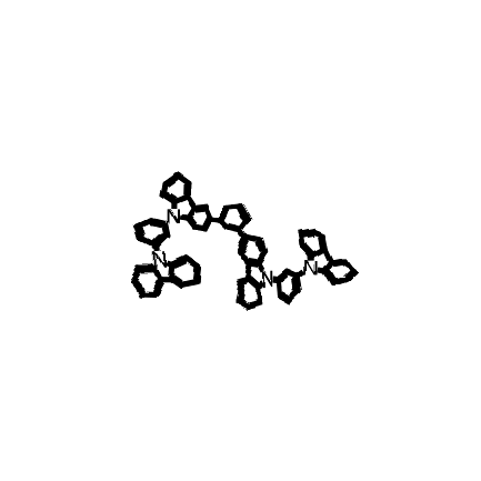 C1=Cc2c(n(-c3cccc(-n4c5ccccc5c5ccccc54)c3)c3ccc(-c4cccc(-c5ccc6c(c5)c5ccccc5n6-c5cccc(-n6c7ccccc7c7ccccc76)c5)c4)cc23)CC1